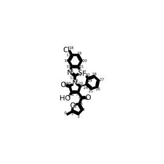 Cc1ccc(C(=O)C2=C(O)C(=O)N(c3nc4cc(Cl)ccc4s3)[C@H]2c2ccccc2F)o1